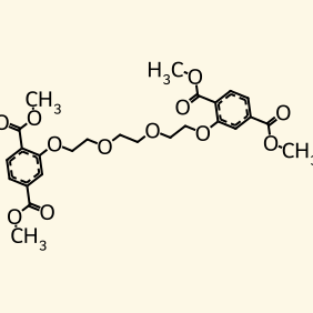 COC(=O)c1ccc(C(=O)OC)c(OCCOCCOCCOc2cc(C(=O)OC)ccc2C(=O)OC)c1